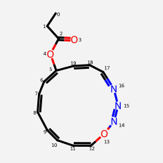 CCC(=O)OC1=CC=CC=CC=CON=NN=CC=C1